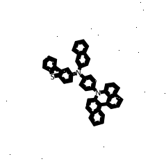 c1ccc2cc(N(c3ccc(N4c5ccc6ccccc6c5-c5cccc6cccc4c56)cc3)c3ccc4sc5ccccc5c4c3)ccc2c1